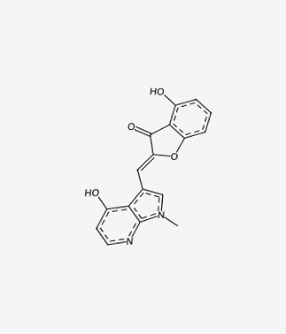 Cn1cc(C=C2Oc3cccc(O)c3C2=O)c2c(O)ccnc21